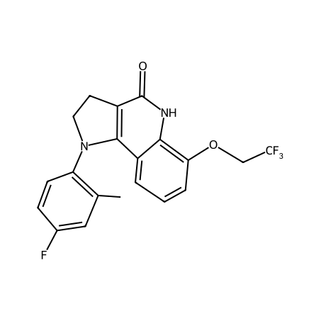 Cc1cc(F)ccc1N1CCc2c1c1cccc(OCC(F)(F)F)c1[nH]c2=O